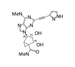 CNC(=O)C12CC1[C@@H](n1cnc3c(NC)nc(C#Cc4cc[nH]n4)nc31)[C@H](O)[C@@H]2O